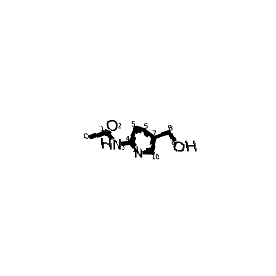 CC(=O)Nc1ccc(CO)cn1